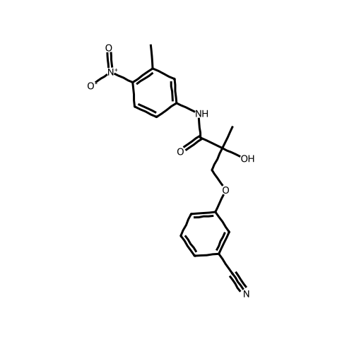 Cc1cc(NC(=O)C(C)(O)COc2cccc(C#N)c2)ccc1[N+](=O)[O-]